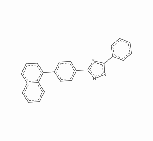 [c]1ccc(-c2nnc(-c3ccc(-c4cccc5ccccc45)cc3)s2)cc1